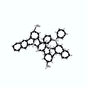 CC(C)(C)c1cc2c3cc4ccccc4cc3n3c4nc5c6cc(C(C)(C)C)cc7c8c9ccccc9cc(N(c9ccccc9)c9ccccc9)c8n(c5cc4c(c1)c23)c67